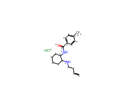 C=CCCNC1CCCCC1NC(=O)c1ccc(C(F)(F)F)cc1.Cl